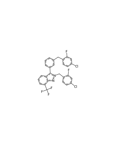 Fc1cc(Cl)ccc1Cc1cccc(-c2c3cccc(C(F)(F)F)c3nn2Cc2ccc(Cl)cc2F)c1